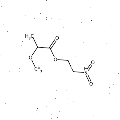 CC(OC(F)(F)F)C(=O)OCC[SH](=O)=O